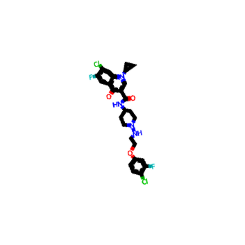 O=C(NC1CCN(NCCOc2ccc(Cl)c(F)c2)CC1)c1cn(C2CC2)c2cc(Cl)c(F)cc2c1=O